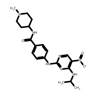 CC(C)Nc1nc(Nc2ccc(C(=O)NC3CCN(C)CC3)cc2)ncc1[N+](=O)[O-]